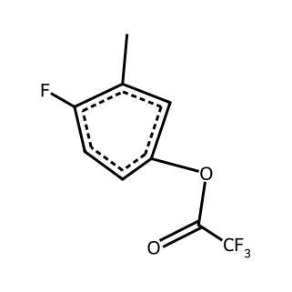 Cc1cc(OC(=O)C(F)(F)F)ccc1F